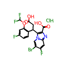 Cl.O=C(O)CC(c1ccc(F)cc1OC(F)F)c1c(C(=O)O)nc2cc(F)c(Br)cn12